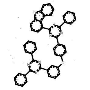 c1ccc(-c2nc(-c3ccccc3)nc(-c3cccc(Oc4ccc(-c5nc(-c6ccccc6)nc(-c6cccc7oc8ccccc8c67)n5)cc4)c3)n2)cc1